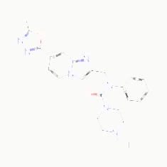 Cc1nnc(-c2ccn3cc(CN(C(=O)N4CCN(C)CC4)c4ccccc4)nc3c2)o1